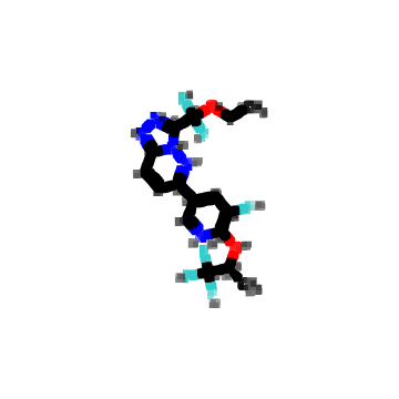 CCOC(F)(F)c1nnc2ccc(-c3cnc(O[C@@H](C)C(F)(F)F)c(F)c3)nn12